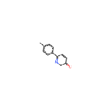 Cc1ccc(C2=NCC(=O)C=C2)cc1